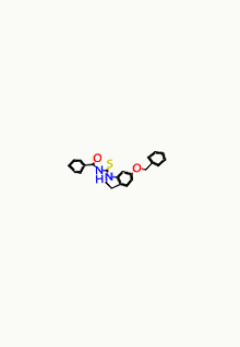 O=C(NC(=S)N1CCc2ccc(OCc3ccccc3)cc21)c1ccccc1